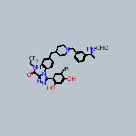 CC(C)c1cc(-c2nnc(C(=O)NCC(F)(F)F)n2-c2ccc(CC3CCN(Cc4cccc(C(C)NC=O)c4)CC3)cc2)c(O)cc1O